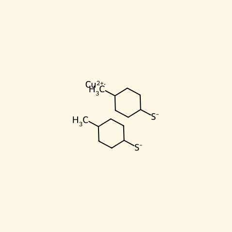 CC1CCC([S-])CC1.CC1CCC([S-])CC1.[Cu+2]